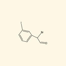 O=CC(Br)c1cccc(I)c1